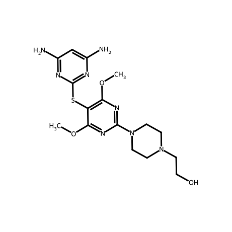 COc1nc(N2CCN(CCO)CC2)nc(OC)c1Sc1nc(N)cc(N)n1